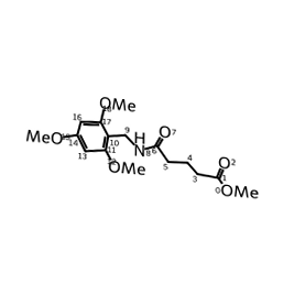 COC(=O)CCCC(=O)NCc1c(OC)cc(OC)cc1OC